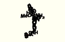 C=N/C(N)=C1/C(c2ccc(NC(=O)c3cc4ccccc4n3C)c(OC)c2)=NN(C2CCC(N3CCN(CCNC(=O)[C@@H](C)CCC45CC6CC(CC(C6)C4)C5)CC3)CC2)/C1=N/C